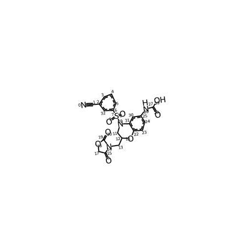 N#Cc1cccc(S(=O)(=O)N2CC(CN3C(=O)COC3=O)Oc3ccc(NC(=O)O)cc32)c1